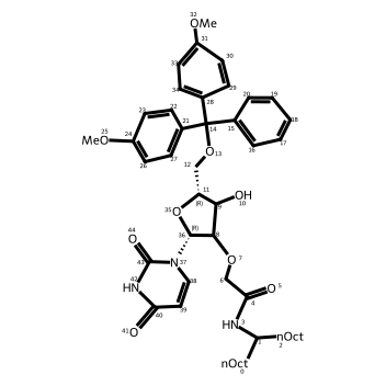 CCCCCCCCC(CCCCCCCC)NC(=O)COC1C(O)[C@@H](COC(c2ccccc2)(c2ccc(OC)cc2)c2ccc(OC)cc2)O[C@H]1n1ccc(=O)[nH]c1=O